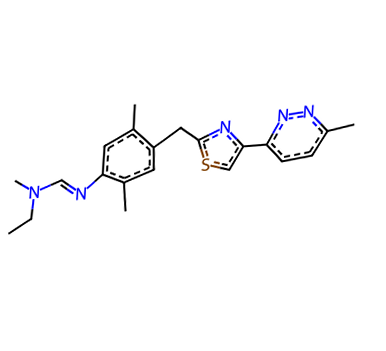 CCN(C)C=Nc1cc(C)c(Cc2nc(-c3ccc(C)nn3)cs2)cc1C